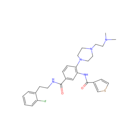 CN(C)CCN1CCN(c2ccc(C(=O)NCCc3ccccc3F)cc2NC(=O)c2ccsc2)CC1